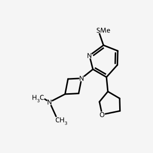 CSc1ccc(C2CCOC2)c(N2CC(N(C)C)C2)n1